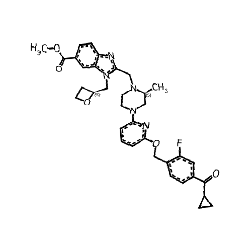 COC(=O)c1ccc2nc(CN3CCN(c4cccc(OCc5ccc(C(=O)C6CC6)cc5F)n4)C[C@@H]3C)n(C[C@@H]3CCO3)c2c1